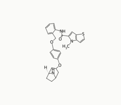 Cn1c(C(=O)Nc2ccccc2COc2ccc(OC3CC4CC[C@@H](C3)N4)cc2)cc2sccc21